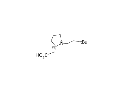 CC(C)(C)CCN1CCC[C@H]1CC(=O)O